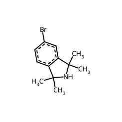 CC1(C)NC(C)(C)c2cc(Br)ccc21